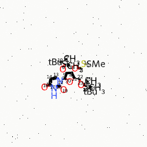 CSSCO[C@H]1[C@@H](O[Si](C)(C)C(C)(C)C)[C@H](n2ccc(=O)[nH]c2=O)O[C@@H]1CO[Si](C)(C)C(C)(C)C